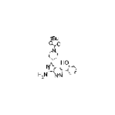 CC(C)(C)OC(=O)N1CCC(n2nc(N)c3nnc(-c4ccccc4O)cc32)CC1